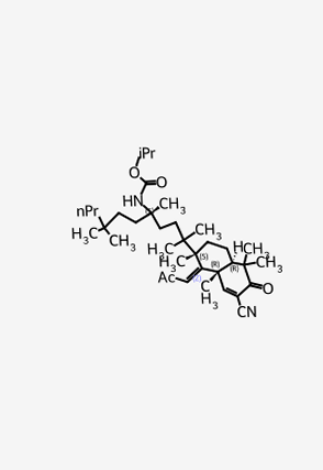 CCCC(C)(C)CC[C@@](C)(CCC(C)(C)[C@]1(C)CC[C@H]2C(C)(C)C(=O)C(C#N)=C[C@]2(C)/C1=C/C(C)=O)NC(=O)OC(C)C